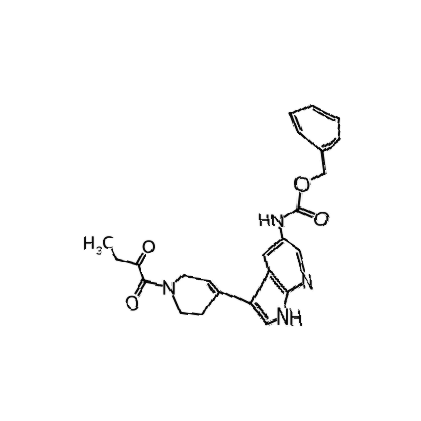 CCC(=O)C(=O)N1CC=C(c2c[nH]c3ncc(NC(=O)OCc4ccccc4)cc23)CC1